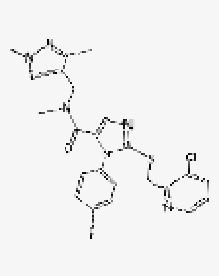 Cc1nn(C)cc1CN(C)C(=O)c1cnc(SCc2ncccc2Cl)n1-c1ccc(F)cc1